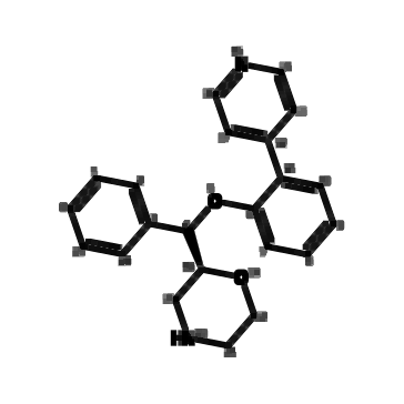 c1ccc(C(Oc2ccccc2-c2ccncc2)[C@@H]2CNCCO2)cc1